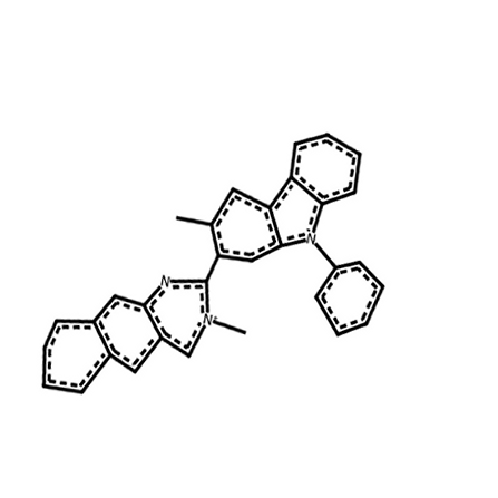 Cc1cc2c3ccccc3n(-c3ccccc3)c2cc1-c1nc2cc3ccccc3cc2c[n+]1C